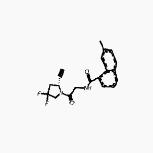 C#C[C@H]1CC(F)(F)CN1C(=O)CNC(=O)c1cccc2ccc(C)cc12